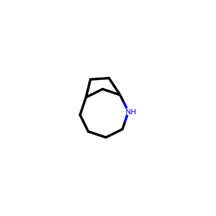 C1CCC2CCC(C2)NC1